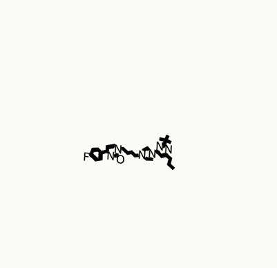 CCCc1cc(N2CCN(CCCCn3ccc(-c4ccc(F)cc4)nc3=O)CC2)nc(C(C)(C)C)n1